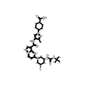 Cc1nn(C2CCC(C(=O)O)CC2)cc1NC(=O)c1cnn2ccc(N3C[C@H](F)C[C@@H](NC(=O)OC(C)(C)C)C3)nc12